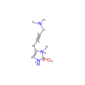 CN(C)CC#CCc1c[nH]c(=O)n1C